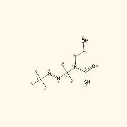 CC(C)(C)N=NC(C)(C)N(CCO)C(=O)S